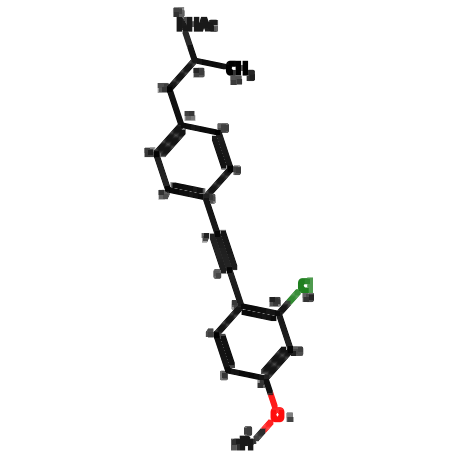 CCCOc1ccc(C#Cc2ccc(CC(C)NC(C)=O)cc2)c(Cl)c1